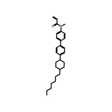 C=CC(=O)N(C)c1ccc(-c2ccc(C3CCC(CCCCCCC)CC3)cc2)cc1